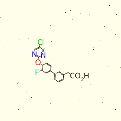 O=C(O)Cc1cccc(-c2ccc(Oc3ncc(Cl)cn3)c(F)c2)c1